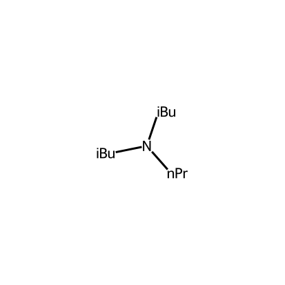 CCCN(C(C)CC)C(C)CC